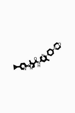 Cc1cc(NC(=O)c2cnn(-c3ccc(C4CC4)cn3)c2C)cnc1[C@H]1CC[C@H](N2CCOCC2)CC1